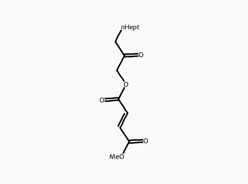 CCCCCCCCC(=O)COC(=O)/C=C/C(=O)OC